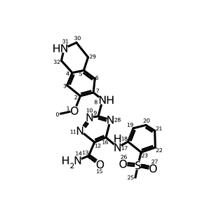 COc1cc2c(cc1Nc1nnc(C(N)=O)c(Nc3ccccc3S(C)(=O)=O)n1)CCNC2